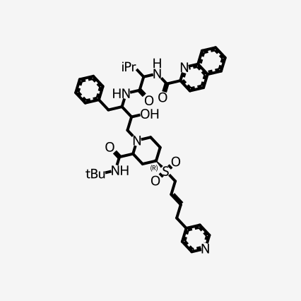 CC(C)C(NC(=O)c1ccc2ccccc2n1)C(=O)NC(Cc1ccccc1)C(O)CN1CC[C@@H](S(=O)(=O)CC=CCc2ccncc2)CC1C(=O)NC(C)(C)C